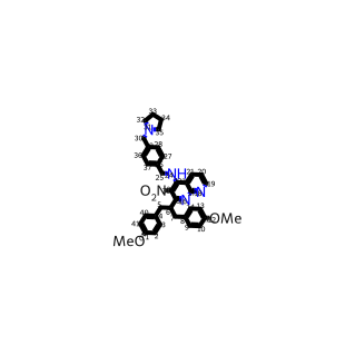 COc1ccc(CC(Cc2ccc(OC)cc2)c2nc3ncccc3c(NCc3ccc(CN4CCCC4)cc3)c2[N+](=O)[O-])cc1